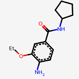 CCOc1cc(C(=O)NC2CCCC2)ccc1N